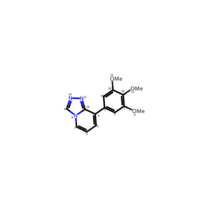 COc1cc(-c2cccn3cnnc23)cc(OC)c1OC